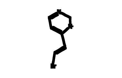 Br/C=C/C1=CC=NC[N]1